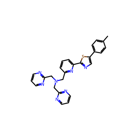 Cc1ccc(-c2cnc(-c3cccc(CN(Cc4ncccn4)Cc4ncccn4)n3)s2)cc1